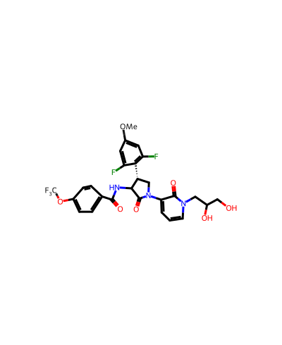 COc1cc(F)c([C@@H]2CN(c3cccn(CC(O)CO)c3=O)C(=O)C2NC(=O)c2ccc(OC(F)(F)F)cc2)c(F)c1